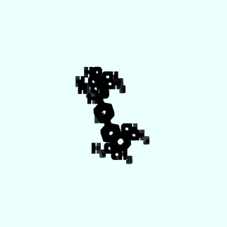 CC1(C)CCC(C)(C)c2cc(-c3ccc(BOC(C)(C)C(C)(C)O)cn3)ccc21